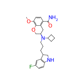 COc1ccc(C(N)=O)c2c1OC[C@H](N(CCCC1CNc3ccc(F)cc31)C1CCC1)C2